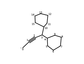 [CH2]C#CC(C1CCCCC1)C1CCCCC1